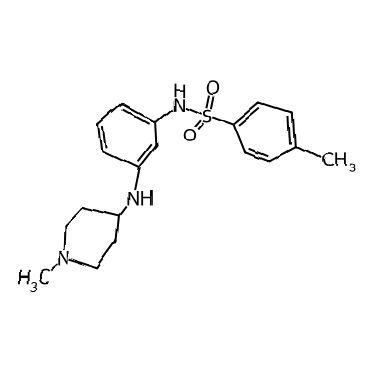 Cc1ccc(S(=O)(=O)Nc2cccc(NC3CCN(C)CC3)c2)cc1